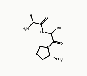 CC[C@H](C)[C@H](NC(=O)[C@H](C)N)C(=O)N1CCC[C@H]1C(=O)O